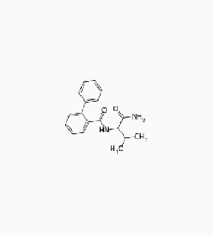 CC(C)C(NC(=O)c1ccccc1-c1ccccc1)C(N)=O